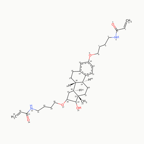 C=CC(=O)NCCCCOc1ccc2c(c1)CC[C@@H]1[C@@H]2CC[C@]2(C)C(O)C(OCCCCNC(=O)C=C)C[C@@H]12